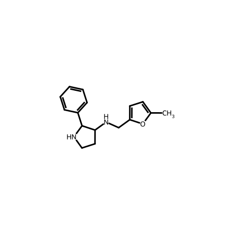 Cc1ccc(CNC2CCNC2c2ccccc2)o1